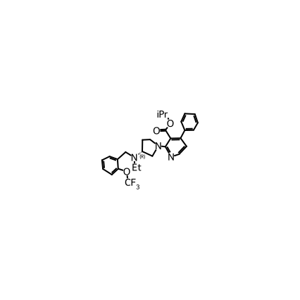 CCN(Cc1ccccc1OC(F)(F)F)[C@@H]1CCN(c2nccc(-c3ccccc3)c2C(=O)OC(C)C)C1